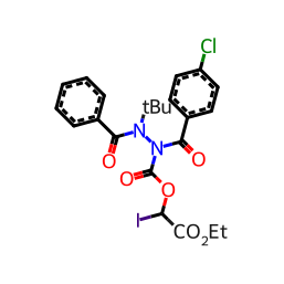 CCOC(=O)C(I)OC(=O)N(C(=O)c1ccc(Cl)cc1)N(C(=O)c1ccccc1)C(C)(C)C